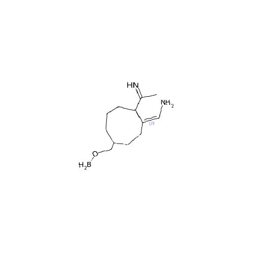 BOCC1CCCC(C(C)=N)/C(=C\N)CC1